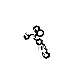 c1ccc(CNCc2ccc(CN(Cc3cccs3)C3CCCCc4cccnc43)cc2)nc1